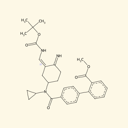 COC(=O)c1ccccc1-c1ccc(C(=O)N(C2CC2)C2CCC(=N)/C(=C\NC(=O)OC(C)(C)C)C2)cc1